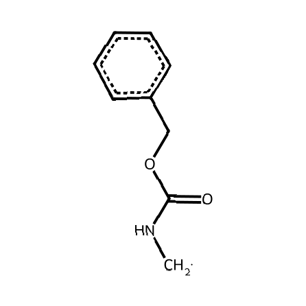 [CH2]NC(=O)OCc1ccccc1